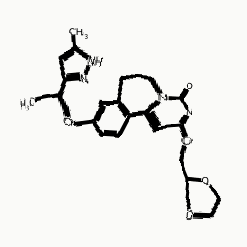 Cc1cc(C(C)Oc2ccc3c(c2)CCn2c-3cc(OCC3COCCO3)nc2=O)n[nH]1